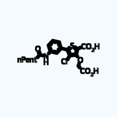 CCCCCC(=O)Nc1cccc(-c2sc(C(=O)O)c(OCC(=O)O)c2Cl)c1